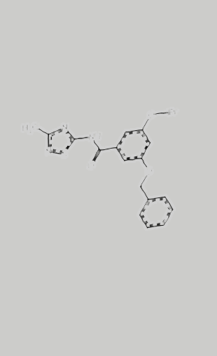 Cc1nsc(NC(=O)c2cc(OCc3ccccc3)cc(OC(C)C)c2)n1